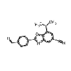 CC(C)c1cc(C#N)cc2nc(-c3ccc(C=O)cc3)oc12